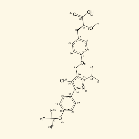 CO[C@@H](Cc1ccc(OCc2c(C(C)C)nn(-c3ccc(OC(F)(F)F)cc3)c2Cl)cc1)C(=O)O